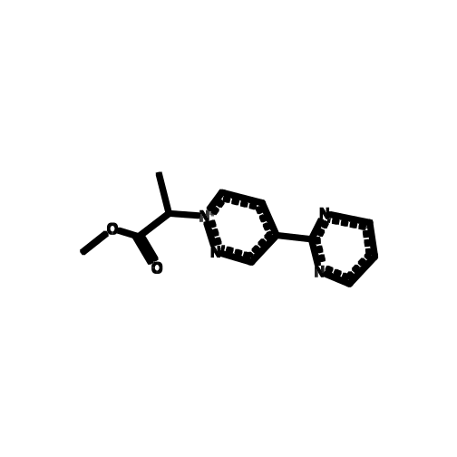 COC(=O)C(C)[n+]1ccc(-c2ncccn2)cn1